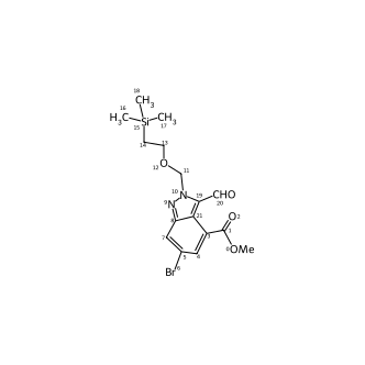 COC(=O)c1cc(Br)cc2nn(COCC[Si](C)(C)C)c(C=O)c12